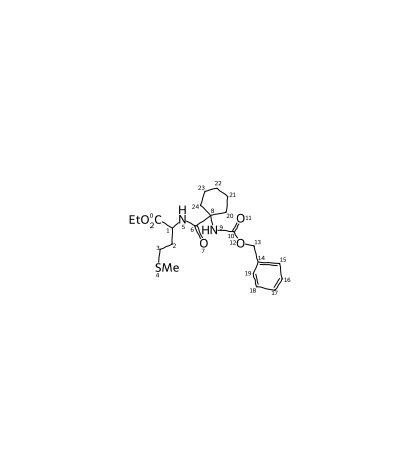 CCOC(=O)C(CCSC)NC(=O)C1(NC(=O)OCc2ccccc2)CCCCC1